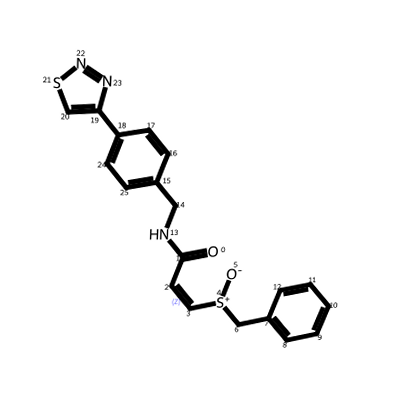 O=C(/C=C\[S+]([O-])Cc1ccccc1)NCc1ccc(-c2csnn2)cc1